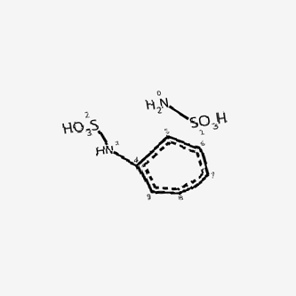 NS(=O)(=O)O.O=S(=O)(O)Nc1ccccc1